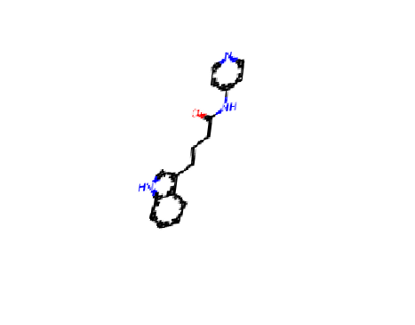 O=C(CCCc1c[nH]c2ccccc12)Nc1ccncc1